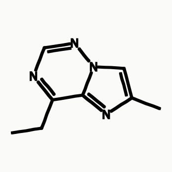 CCc1ncnn2cc(C)nc12